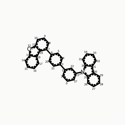 c1cc(-c2ccc(-c3cccc4oc5ccccc5c34)cc2)cc(-n2c3ccccc3c3ccccc32)c1